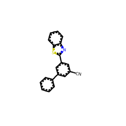 N#Cc1cc(-c2ccccc2)cc(-c2nc3ccccc3s2)c1